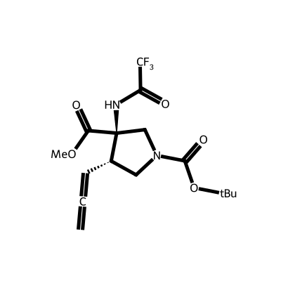 C=C=C[C@H]1CN(C(=O)OC(C)(C)C)C[C@@]1(NC(=O)C(F)(F)F)C(=O)OC